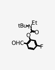 CCN(C(=O)Oc1cc(F)ccc1C=O)C(C)(C)C